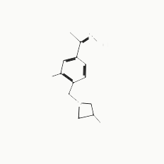 CCc1cc(/C(C)=N\O)ccc1CN1CC(C(=O)O)C1